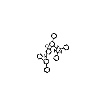 c1ccc(-c2cc(-c3nc(-c4ccccc4)nc(-c4ccccc4)n3)c3c(c2)oc2cc(-n4c5ccccc5c5cc(-c6ccccc6)ccc54)ccc23)cc1